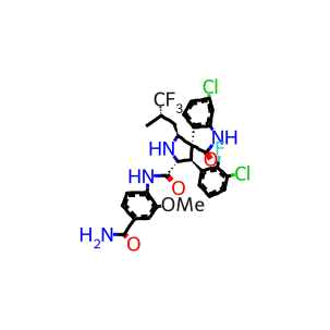 COc1cc(C(N)=O)ccc1NC(=O)[C@@H]1N[C@@H](C[C@H](C)C(F)(F)F)[C@@]2(C(=O)Nc3cc(Cl)ccc32)[C@H]1c1cccc(Cl)c1F